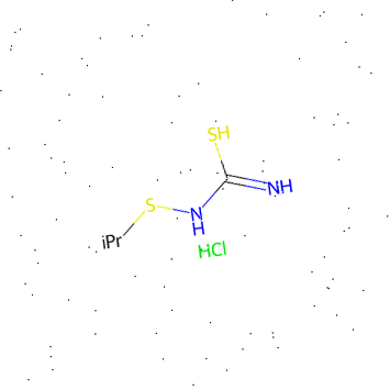 CC(C)SNC(=N)S.Cl